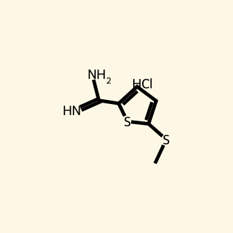 CSc1ccc(C(=N)N)s1.Cl